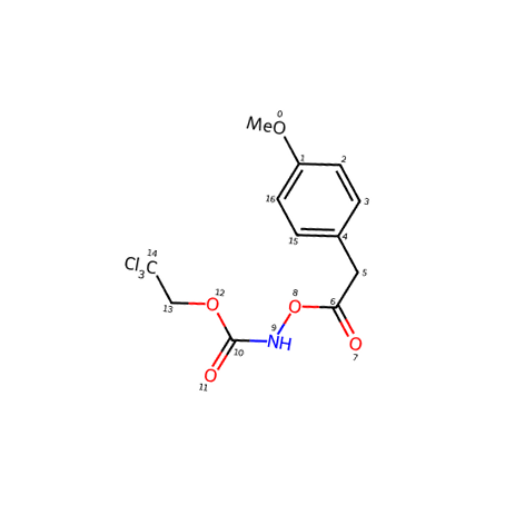 COc1ccc(CC(=O)ONC(=O)OCC(Cl)(Cl)Cl)cc1